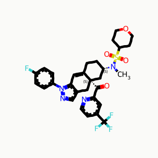 CN([C@H]1CCC2=Cc3c(cnn3-c3ccc(F)cc3)C[C@]2(C(=O)c2cc(C(F)(F)F)ccn2)C1)S(=O)(=O)C1CCOCC1